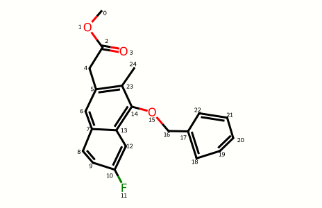 COC(=O)Cc1cc2ccc(F)cc2c(OCc2ccccc2)c1C